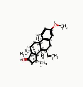 CC[C@@H]1Cc2cc(OC)ccc2[C@H]2CC[C@]3(C)C(=O)C[C@@H](C)[C@H]3[C@H]12